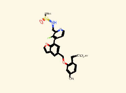 CC(C)(C)[S@+]([O-])NCc1nccc(-c2cc(COc3cc(C#N)ccc3CC(=O)O)cc3ccoc23)c1F